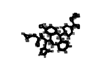 Cn1cncc1C(NC(=O)OC1CC1)C1=Cc2cccnc2C(N2CCN(C(=O)OC(C)(C)C)CC2)c2ccc(Cl)cc21